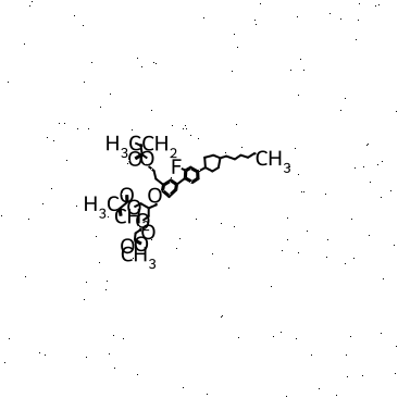 C=C(C)C(=O)OCCCc1cc(-c2ccc(C3CCC(CCCCCC)CC3)cc2F)ccc1OCC(COC(=O)CC(=O)OC)COC(=O)C(=C)C